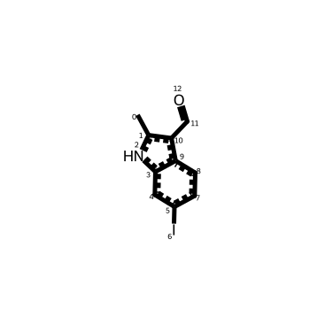 Cc1[nH]c2cc(I)ccc2c1C=O